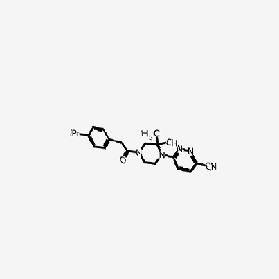 CC(C)c1ccc(CC(=O)N2CCN(c3ccc(C#N)nn3)C(C)(C)C2)cc1